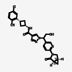 N#Cc1ccc(Cl)cc1[C@H]1C[C@@H](NC(=O)c2cn(C(CO)c3ccc(N4C[C@H]5C[C@H]5C4=O)nc3)nn2)C1